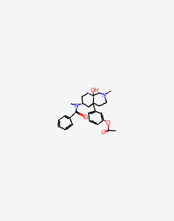 CC(=O)Oc1cccc(C23CCN(C)CC2(O)CC[C@H](N(C)C(=O)c2ccccc2)C3)c1